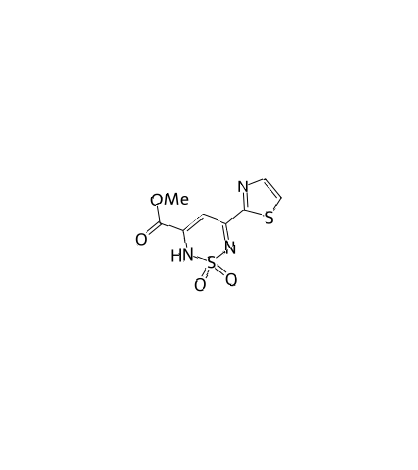 COC(=O)C1=CC(c2nccs2)=NS(=O)(=O)N1